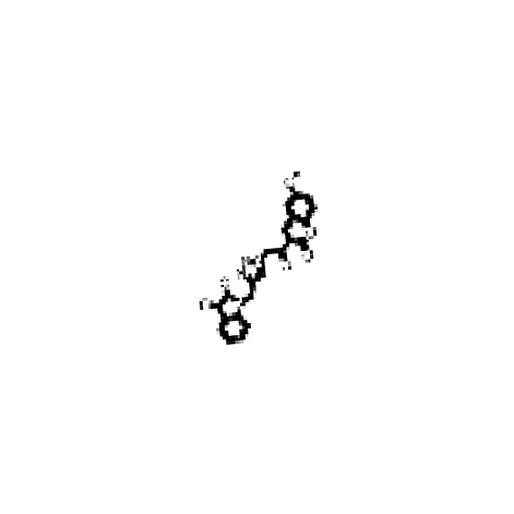 COc1ccc2oc(=O)c(C(=O)Cn3cc(CN4C(=O)C(=O)c5ccccc54)nn3)cc2c1